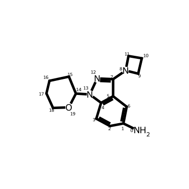 Nc1ccc2c(c1)c(N1CCC1)nn2C1CCCCO1